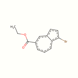 CCOC(=O)c1cccc2c(Br)ccc-2c1